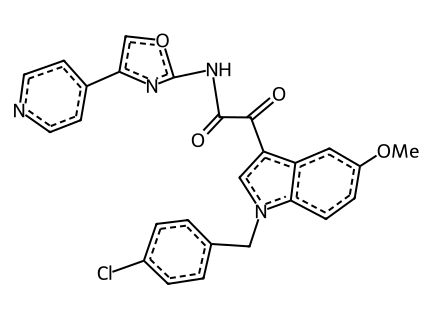 COc1ccc2c(c1)c(C(=O)C(=O)Nc1nc(-c3ccncc3)co1)cn2Cc1ccc(Cl)cc1